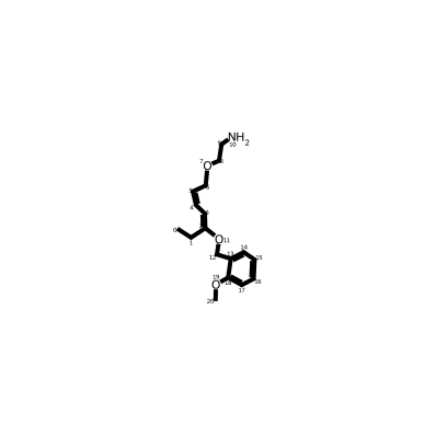 CC/C(=C\C=C/COCCN)OCc1ccccc1OC